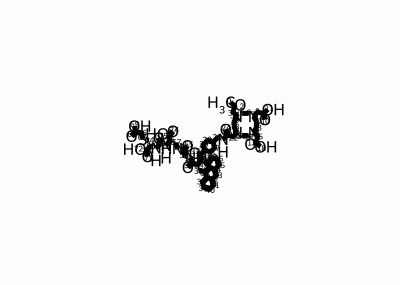 CC(=O)CN1CCN(CC(=O)O)CCN(CC(=O)O)CCN(CC(=O)NCC2CCC(C(=O)N[C@@H](Cc3c4ccccc4cc4ccccc34)C(=O)NCC(=O)NC[C@H](NC(=O)N[C@@H](CSCC(=O)O)C(=O)O)C(=O)O)CC2)CC1